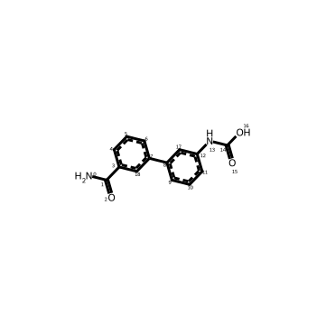 NC(=O)c1cccc(-c2cccc(NC(=O)O)c2)c1